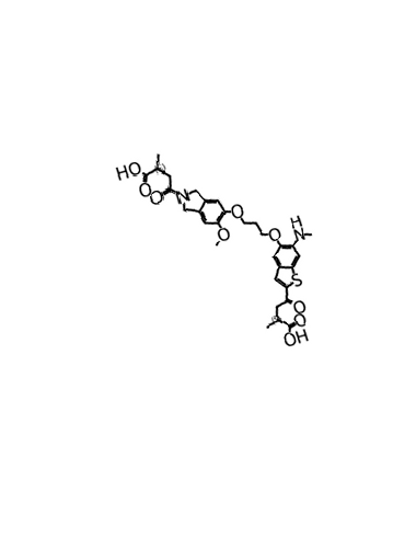 CNc1cc2sc(C(=O)C[C@H](C)C(=O)O)cc2cc1OCCCOc1cc2c(cc1OC)CN(C(=O)C[C@H](C)C(=O)O)C2